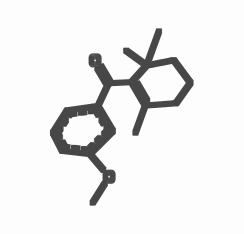 COc1cccc(C(=O)C2=C(C)CCCC2(C)C)c1